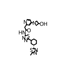 Cc1nnc([C@H]2CCCC(c3nnc(NC(=O)Cc4cc(N5CC(O)C5)ccn4)s3)C2)s1